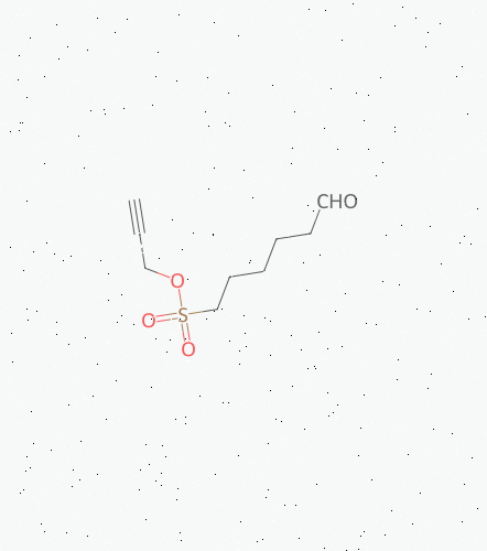 C#CCOS(=O)(=O)CCCCCC=O